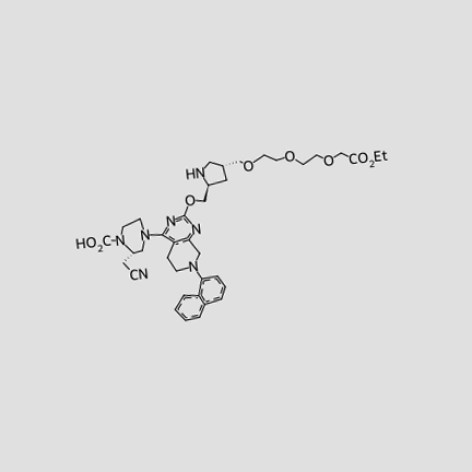 CCOC(=O)COCCOCCOC[C@H]1CN[C@H](COc2nc3c(c(N4CCN(C(=O)O)[C@@H](CC#N)C4)n2)CCN(c2cccc4ccccc24)C3)C1